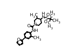 Cc1cc(-c2ccco2)ccc1NC(=O)N1CCC(NS(=O)(=O)C(C)(C)C)C(C)C1